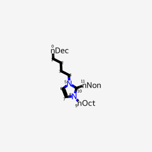 CCCCCCCCCCCCCCN1C=CN(CCCCCCCC)C1CCCCCCCCC